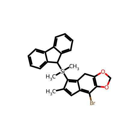 CC1=CC2=C(Br)C3=C(CC2=C1[Si](C)(C)C1c2ccccc2-c2ccccc21)OCO3